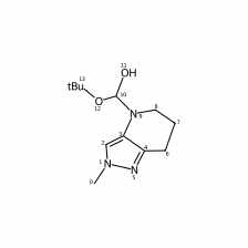 Cn1cc2c(n1)CCCN2C(O)OC(C)(C)C